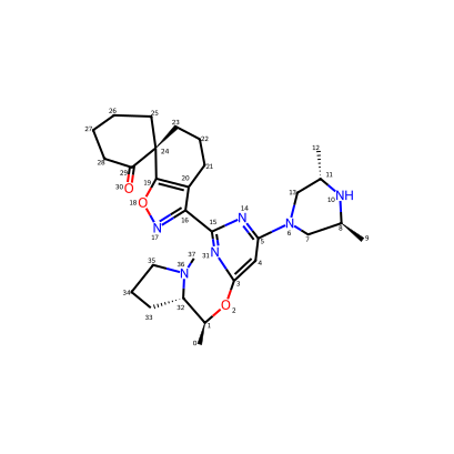 C[C@H](Oc1cc(N2C[C@H](C)N[C@@H](C)C2)nc(-c2noc3c2CCC[C@@]32CCCCC2=O)n1)[C@@H]1CCCN1C